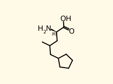 CC(CC1CCCC1)C[C@@H](N)C(=O)O